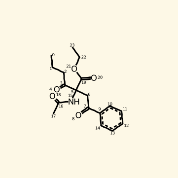 CCCC(=O)C(CC(=O)c1ccccc1)(NC(C)=O)C(=O)OCC